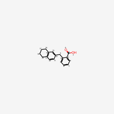 O=C(O)c1ccccc1Cc1ccc2c(c1)CCCC2